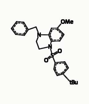 COc1ccc2c(c1)N(Cc1ccccc1)CCN2S(=O)(=O)c1ccc(C(C)(C)C)cc1